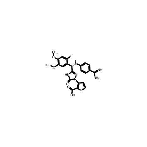 COc1cc(F)c([C@H](Nc2ccc(C(=N)N)cc2)c2nn(-c3ccsc3C(=O)O)c(=O)[nH]2)cc1OC